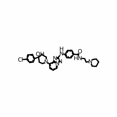 O=C(NCCN1CCCCC1)c1ccc(Nc2nc3c(N4CCC(O)(c5ccc(Cl)cc5)CC4)cccn3n2)cc1